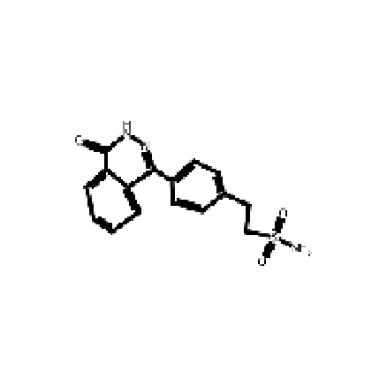 NS(=O)(=O)CCc1ccc(-c2n[nH]c(=O)c3ccccc23)cc1